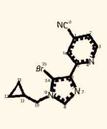 N#Cc1ccnc(-c2ncn(CC3CC3)c2Br)c1